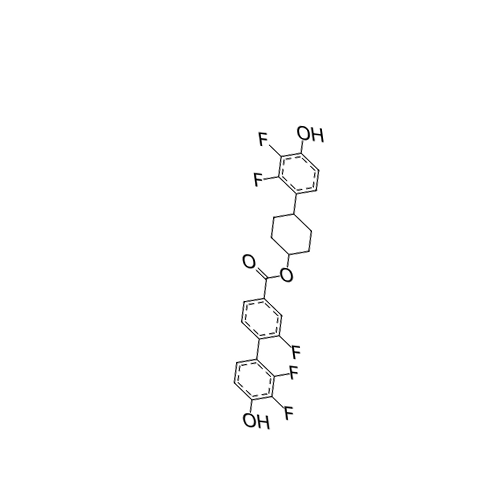 O=C(OC1CCC(c2ccc(O)c(F)c2F)CC1)c1ccc(-c2ccc(O)c(F)c2F)c(F)c1